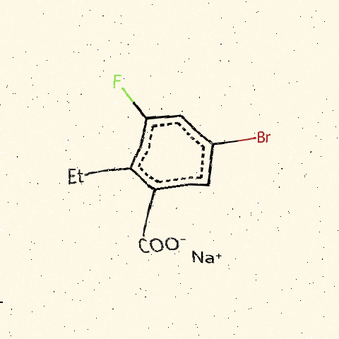 CCc1c(F)cc(Br)cc1C(=O)[O-].[Na+]